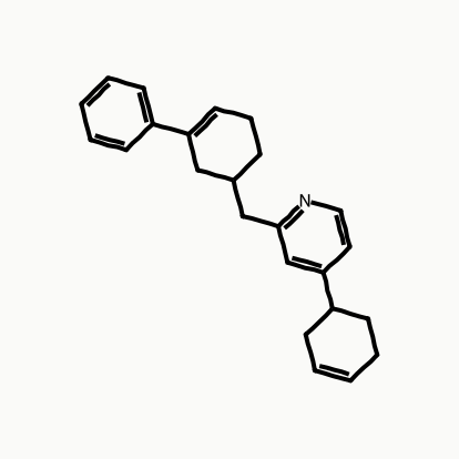 C1=CCC(c2ccnc(CC3CCC=C(c4ccccc4)C3)c2)CC1